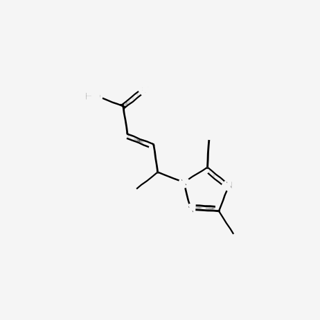 Cc1nc(C)n(C(C)C=CC(=O)O)n1